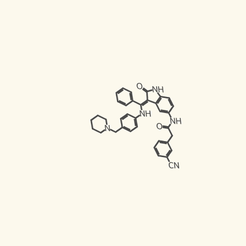 N#Cc1cccc(CC(=O)Nc2ccc3c(c2)C(=C(Nc2ccc(CN4CCCCC4)cc2)c2ccccc2)C(=O)N3)c1